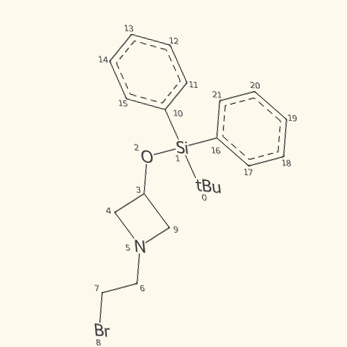 CC(C)(C)[Si](OC1CN(CCBr)C1)(c1ccccc1)c1ccccc1